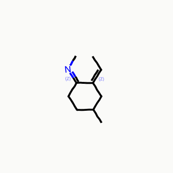 C/C=C1/CC(C)CC/C1=N/C